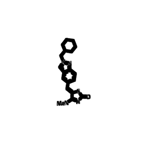 CNC1=NC(=O)S/C1=C\c1ccc2nn(CC3CCCCC3)cc2c1